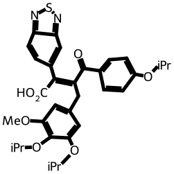 COc1cc(CC(C(=O)c2ccc(OC(C)C)cc2)=C(C(=O)O)c2ccc3nsnc3c2)cc(OC(C)C)c1OC(C)C